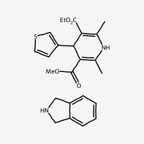 CCOC(=O)C1=C(C)NC(C)=C(C(=O)OC)C1c1ccsc1.c1ccc2c(c1)CNC2